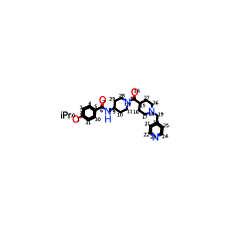 CC(C)Oc1ccc(C(=O)NC2CCN(C(=O)C3CCN(Cc4ccncc4)CC3)CC2)cc1